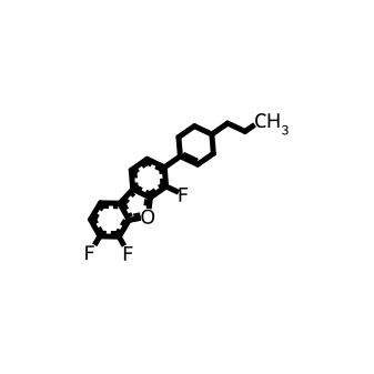 CCCC1CC=C(c2ccc3c(oc4c(F)c(F)ccc43)c2F)CC1